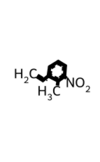 C=[C]c1cccc([N+](=O)[O-])c1C